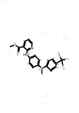 COC(=O)c1cccnc1Nc1ccc(N(C)c2ccc(C(F)(F)F)cc2)cc1